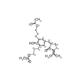 CC(=O)OCCCc1cc(C=C2SCN(N(C)C)C2=O)cc(CCCOC(C)=O)c1O